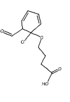 O=CC1C=CC=CC1(Cl)OCCCC(=O)O